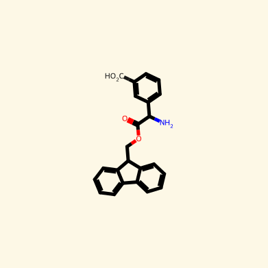 NC(C(=O)OCC1c2ccccc2-c2ccccc21)c1cccc(C(=O)O)c1